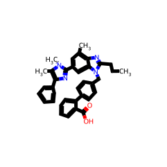 CCCc1nc2c(C)cc(-c3nc(-c4ccccc4)c(C)n3C)cc2n1Cc1ccc(-c2ccccc2C(=O)O)cc1